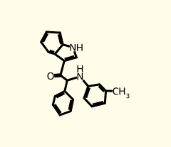 Cc1cccc(NC(C(=O)c2c[nH]c3ccccc23)c2ccccc2)c1